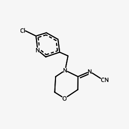 N#CN=C1COCCN1Cc1ccc(Cl)nc1